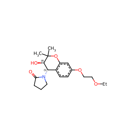 CCOCCOc1ccc2c(c1)OC(C)(C)[C@H](O)[C@H]2N1CCCC1=O